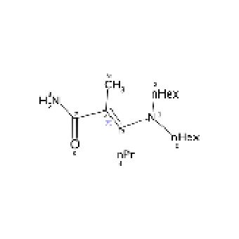 CCCCCCN(CCCCCC)/C(CCC)=C(\C)C(N)=O